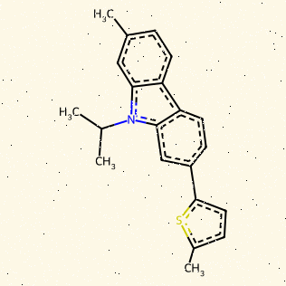 Cc1ccc2c3ccc(-c4ccc(C)s4)cc3n(C(C)C)c2c1